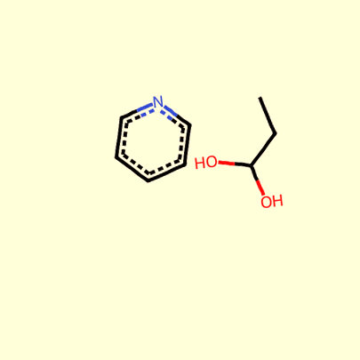 CCC(O)O.c1ccncc1